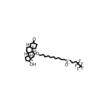 C[C@]12CCC(=O)C[C@@H]1CC[C@@H]1[C@@H]2[C@@H](OCCCCCCCCCC[S+]([O-])CCCC(F)(F)C(F)(F)F)C[C@]2(C)[C@@H](O)CC[C@@H]12